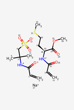 C=CC(=O)NC(C)(C)CS(=O)(=O)[O-].C=CC(=O)N[C@@H](CCSC)C(=O)OC.[Na+]